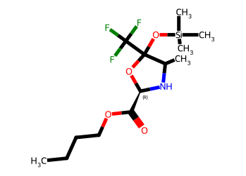 CCCCOC(=O)[C@@H]1NC(C)C(O[Si](C)(C)C)(C(F)(F)F)O1